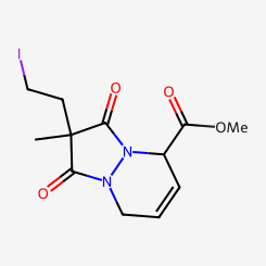 COC(=O)C1C=CCN2C(=O)C(C)(CCI)C(=O)N12